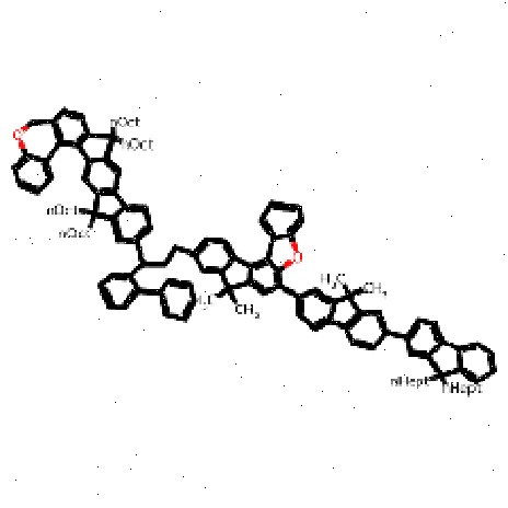 CCCCCCCCC1(CCCCCCCC)c2cc(C(CCc3ccc4c(c3)C(C)(C)c3cc(-c5ccc6c(c5)C(C)(C)c5cc(-c7ccc8c(c7)C(CCCCCCC)(CCCCCCC)c7ccccc7-8)ccc5-6)c5oc6ccccc6c5c3-4)c3ccccc3-c3ccccc3)ccc2-c2cc3c(cc21)-c1c(ccc2c1-c1ccccc1OC2)C3(CCCCCCCC)CCCCCCCC